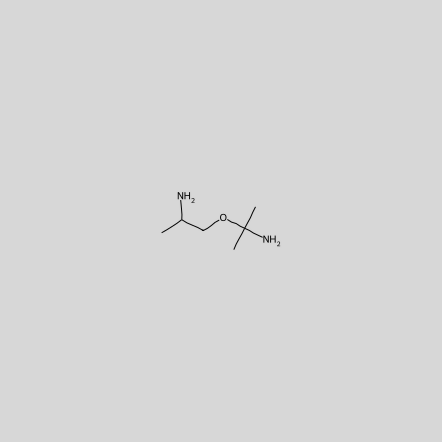 CC(N)COC(C)(C)N